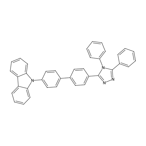 c1ccc(-c2nnc(-c3ccc(-c4ccc(-n5c6ccccc6c6ccccc65)cc4)cc3)n2-c2ccccc2)cc1